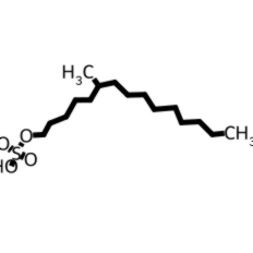 CCCCCCCCCC(C)CCCCCOS(=O)(=O)O